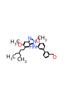 CCC(CC)CCc1cc2c(Nc3cc(-c4cccc(C=O)c4)ccc3OC)ncnc2cc1OC